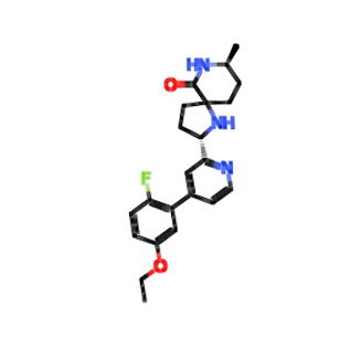 CCOc1ccc(F)c(-c2ccnc([C@@H]3CCC4(CC[C@H](C)NC4=O)N3)c2)c1